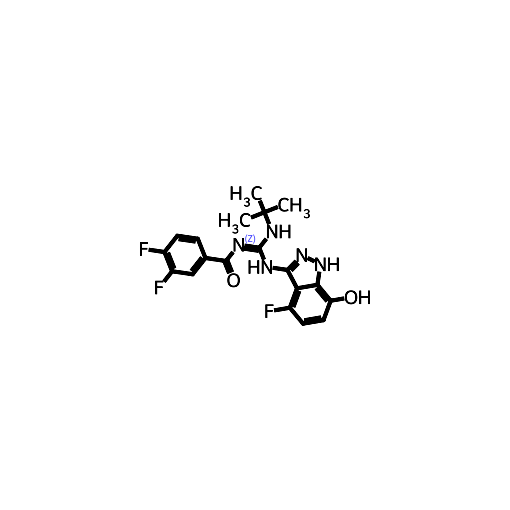 CC(C)(C)N/C(=N/C(=O)c1ccc(F)c(F)c1)Nc1n[nH]c2c(O)ccc(F)c12